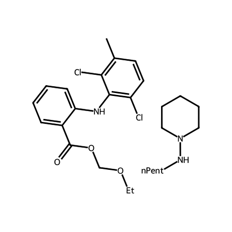 CCCCCNN1CCCCC1.CCOCOC(=O)c1ccccc1Nc1c(Cl)ccc(C)c1Cl